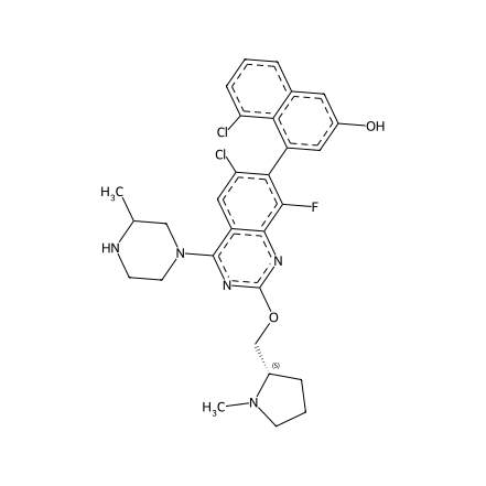 CC1CN(c2nc(OC[C@@H]3CCCN3C)nc3c(F)c(-c4cc(O)cc5cccc(Cl)c45)c(Cl)cc23)CCN1